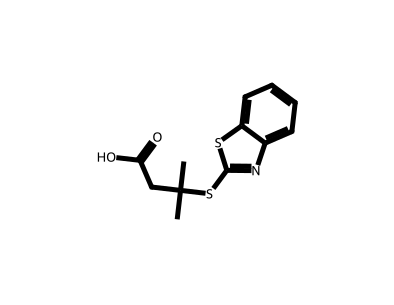 CC(C)(CC(=O)O)Sc1nc2ccccc2s1